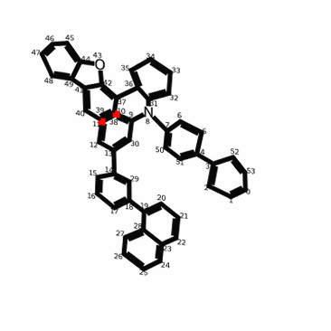 c1ccc(-c2ccc(N(c3cccc(-c4cccc(-c5cccc6ccccc56)c4)c3)c3ccccc3-c3cccc4c3oc3ccccc34)cc2)cc1